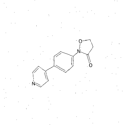 O=C1CCON1c1ccc(-c2ccncc2)cc1